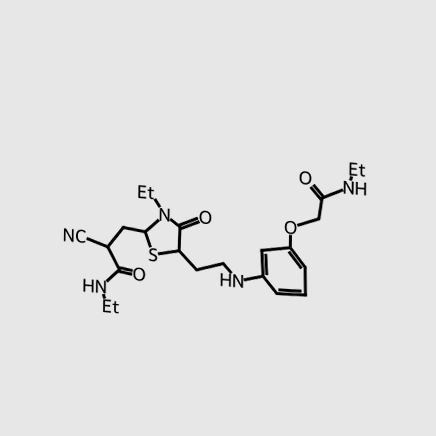 CCNC(=O)COc1cccc(NCCC2SC(CC(C#N)C(=O)NCC)N(CC)C2=O)c1